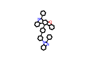 c1ccc(-c2nc3ccccc3c3c(-c4ccc(-c5cccc(-n6c(-c7ccccc7)nc7ccccc76)c5)cc4)c4c(cc23)oc2ccccc24)cc1